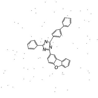 c1ccc(-c2ccc(-c3nc(-c4ccccc4)nc(-c4ccc5oc6ccccc6c5c4)n3)cc2)cc1